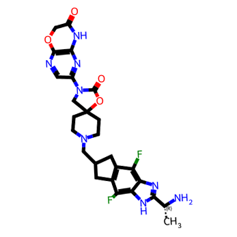 C[C@@H](N)c1nc2c(F)c3c(c(F)c2[nH]1)CC(CN1CCC2(CC1)CN(c1cnc4c(n1)NC(=O)CO4)C(=O)O2)C3